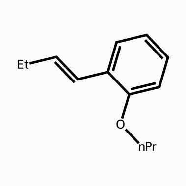 CC/C=C/c1ccccc1OCCC